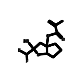 C=C(C)C(=O)OC12CCCC1OC(O)(C(F)F)C2